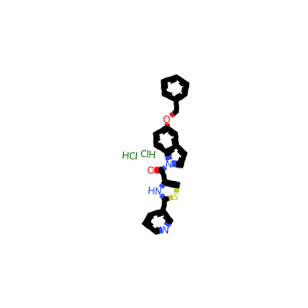 Cl.Cl.O=C(C1=CSC(c2cccnc2)N1)n1ccc2cc(OCc3ccccc3)ccc21